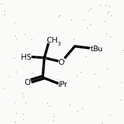 CC(C)C(=O)C(C)(S)OCC(C)(C)C